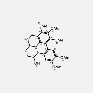 COc1cc(CC(C)O)c(-c2c3c(c(OC)c(OC)c2OC)COC(C)C3)cc1OC